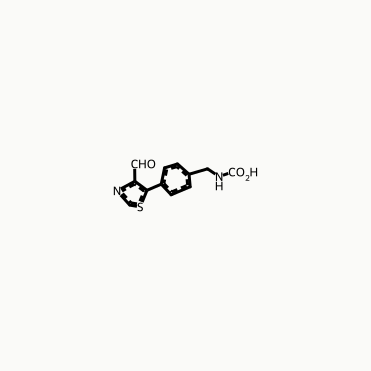 O=Cc1ncsc1-c1ccc(CNC(=O)O)cc1